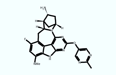 CNc1cc(F)c2c3c1[nH]c1nc(Oc4cnc(C)nc4)nc(c13)N1[C@@H]3C[C@@H]([C@H](N)C3)[C@H]1C2